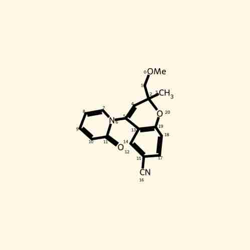 COCC1(C)C=C(n2ccccc2=O)c2cc(C#N)ccc2O1